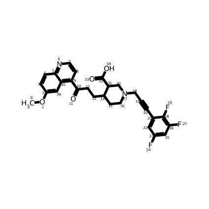 COc1ccc2nccc(C(=O)CCC3CCN(CC#Cc4cc(F)cc(F)c4F)CC3C(=O)O)c2c1